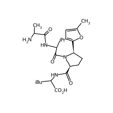 CCC(C)C(NC(=O)[C@@H]1CC[C@H](c2ccc(C)o2)N1C(=O)C(NC(=O)C(C)N)C(C)C)C(=O)O